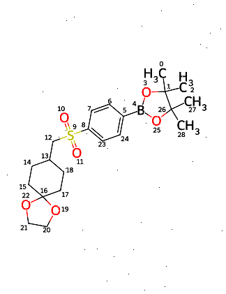 CC1(C)OB(c2ccc(S(=O)(=O)CC3CCC4(CC3)OCCO4)cc2)OC1(C)C